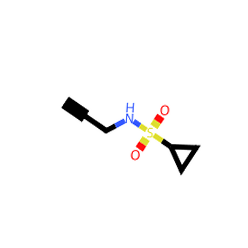 C#CCNS(=O)(=O)C1CC1